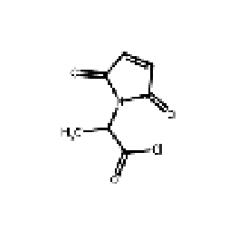 CC(C(=O)Cl)N1C(=O)C=CC1=O